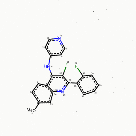 COc1ccc2c(Nc3ccncc3)c(F)c(-c3ccccc3F)nc2c1